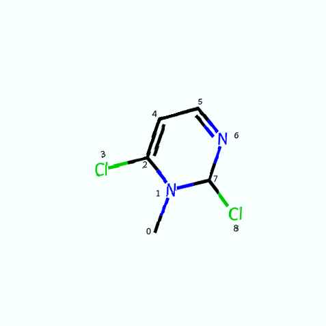 CN1C(Cl)=CC=NC1Cl